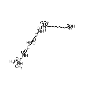 CCN[C@@H](CCCCNC(=O)COCCOCCNC(=O)COCCOCCNC(=O)CC[C@H](NC(=O)CCCCCCCCCCCCCS(=O)(=O)O)C(=O)O)C(=O)P